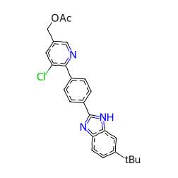 CC(=O)OCc1cnc(-c2ccc(-c3nc4ccc(C(C)(C)C)cc4[nH]3)cc2)c(Cl)c1